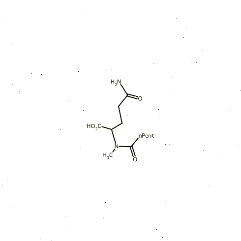 CCCCCC(=O)N(C)C(CCC(N)=O)C(=O)O